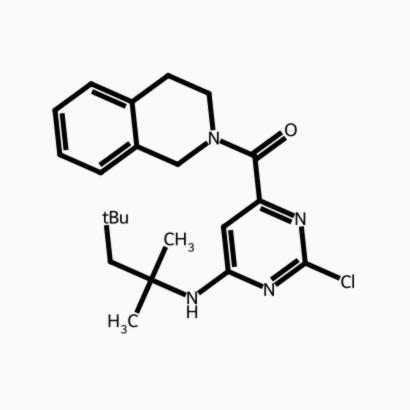 CC(C)(C)CC(C)(C)Nc1cc(C(=O)N2CCc3ccccc3C2)nc(Cl)n1